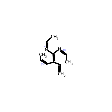 C=CC(/C=C\C)=C(/N=C\C)/N=C\C